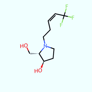 OC[C@H]1[C@H](O)CCN1CC/C=C\C(F)(F)F